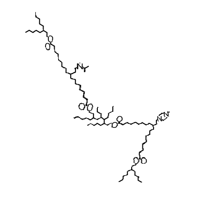 CCCCCC(CCCCC)CCOC(=O)CCCCCCCCC(CCCCCCCCC(=O)OCCC(CCCCC)C(CCCC)C(CCC)CC(CCCCC)CCOC(=O)CCCCCCCCC(CCCCCCCCC(=O)OCCC(CCCCC)CCCCC)CCN(C)C(C)C)CCN1CCN(C)CC1